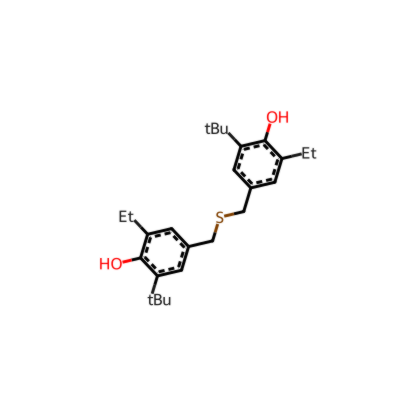 CCc1cc(CSCc2cc(CC)c(O)c(C(C)(C)C)c2)cc(C(C)(C)C)c1O